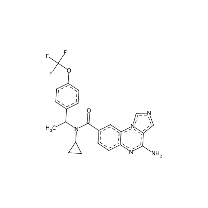 CC(c1ccc(OC(F)(F)F)cc1)N(C(=O)c1ccc2nc(N)c3cncn3c2c1)C1CC1